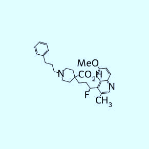 COc1ccc2ncc(C)c([C@@H](F)CCC3(C(=O)O)CCN(CCCc4ccccc4)CC3)c2c1